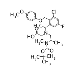 COc1ccc(OCc2c(Cl)cc(F)cc2C(C)N(CC(=O)O)CC(C)N(C)C(=O)OC(C)(C)C)cc1